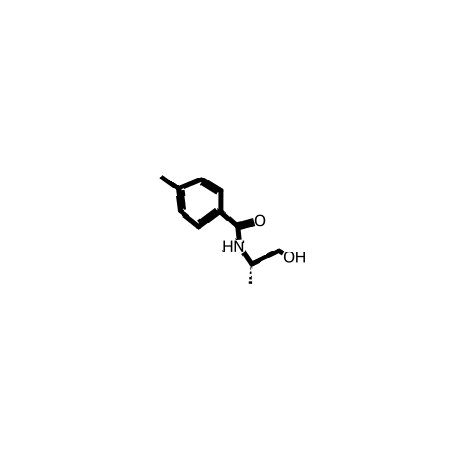 Cc1ccc(C(=O)N[C@@H](C)CO)cc1